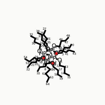 CCCCO[PH](OCCCC)(OCCCC)[Ni]([PH](OCCCC)(OCCCC)OCCCC)([PH](OCCCC)(OCCCC)OCCCC)[PH](OCCCC)(OCCCC)OCCCC